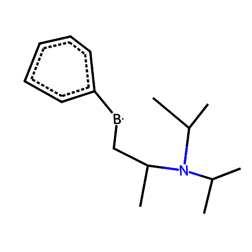 CC(C)N(C(C)C)C(C)C[B]c1ccccc1